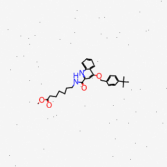 COC(=O)CCCCCCNC(=O)c1cc(OCc2ccc(C(C)(C)C)cc2)c2ccccc2n1